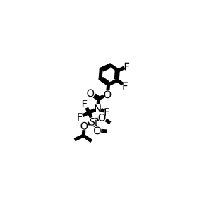 CO[Si](OC)(OC(C)C)C(F)(F)N(F)C(=O)Oc1cccc(F)c1F